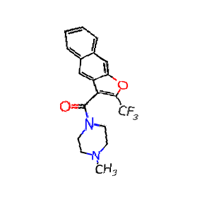 CN1CCN(C(=O)c2c(C(F)(F)F)oc3cc4ccccc4cc23)CC1